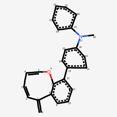 C=C1/C=C\C=C/Oc2c1cccc2-c1ccc(N(C)c2ccccc2)cc1